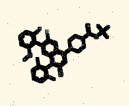 COc1cccc(F)c1-c1cc2c(cc1F)c(N1CCN(C(=O)OC(C)(C)C)CC1)cc(=O)n2-c1c(C)cccc1C